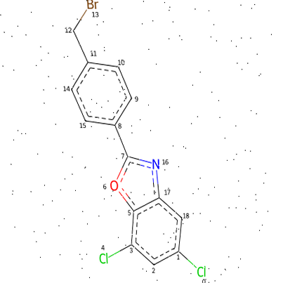 Clc1cc(Cl)c2oc(-c3ccc(CBr)cc3)nc2c1